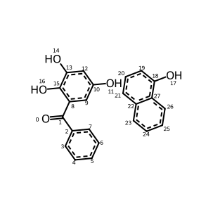 O=C(c1ccccc1)c1cc(O)cc(O)c1O.Oc1cccc2ccccc12